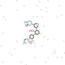 CN(C)/C=C\N(C=O)c1ccc(-c2cc(F)cc(-c3cncc(N4CCNC5(CC5)C4)c3)c2O)cc1Cl